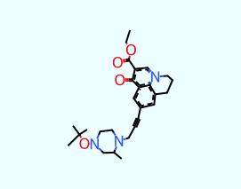 CCOC(=O)c1cn2c3c(cc(C#CCN4CCN(OC(C)(C)C)CC4C)cc3c1=O)CCC2